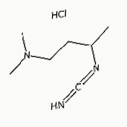 CC(CCN(C)C)N=C=N.Cl